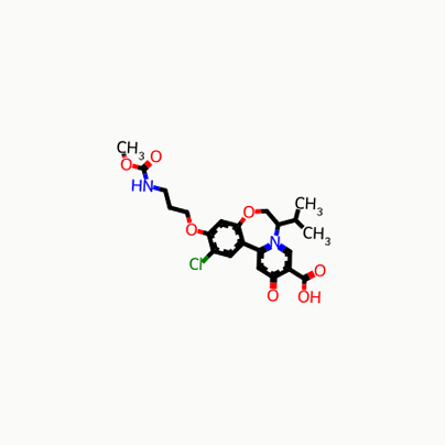 COC(=O)NCCCOc1cc2c(cc1Cl)-c1cc(=O)c(C(=O)O)cn1C(C(C)C)CO2